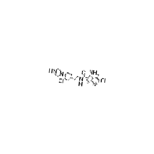 Nc1c(C(=O)NCCc2ccc(N3CCNCC3)c(Cl)c2)sc2ncc(Cl)cc12